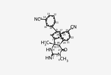 CN1C(=N)N[C@](C)(c2cc(-c3cccc(C#N)c3)cs2)[C@@H](c2ccc(C#N)cc2)C1=O